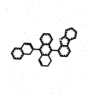 C1=Cc2ccccc2CC=1c1c2c(c(-c3cccc4c3sc3ccccc34)c3ccccc13)CCC=C2